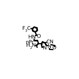 CCC/C(=C\C(=C(\C)N)c1cnc(N2CCOCC2)c(C#N)c1)NC(=O)c1cccc(C(F)(F)F)c1